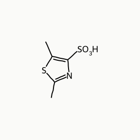 Cc1nc(S(=O)(=O)O)c(C)s1